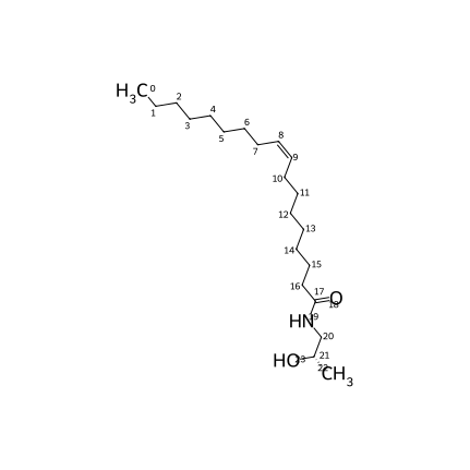 CCCCCCCC/C=C\CCCCCCCC(=O)NC[C@H](C)O